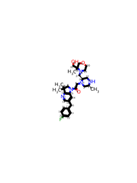 C[C@@H]1CN(CC(=O)N2CC(C)(C)c3ncc(Cc4ccc(F)cc4)cc32)[C@@H](CN2CCOCC2(C)CO)CN1